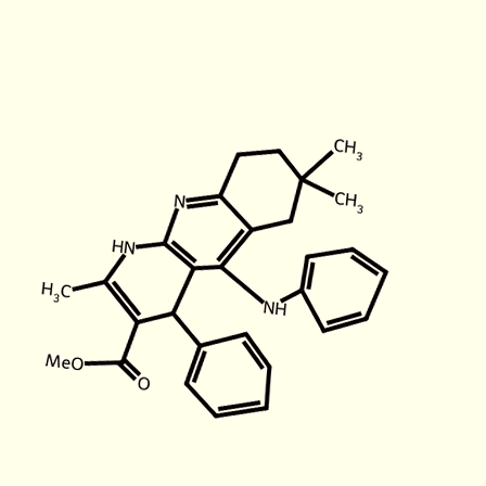 COC(=O)C1=C(C)Nc2nc3c(c(Nc4ccccc4)c2C1c1ccccc1)CC(C)(C)CC3